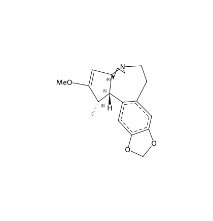 COC1=C[C@]23CCCN2CCc2cc4c(cc2[C@@H]3[C@@H]1C)OCO4